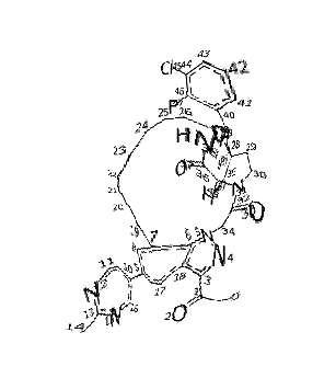 CC(=O)c1nn2c3c(cc(-c4cnc(C)nc4)cc13)CCCCCCCCO[C@@H]1CCN(C(=O)C2)[C@@H]1C(=O)NCc1cccc(Cl)c1F